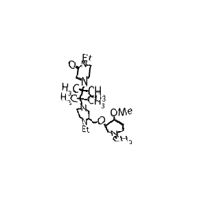 CCN1CCN(C(C)(C)C(C)(C)N2CCN(CC)C(COC3CN(C)CCC3OC)C2)CC1=O